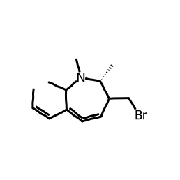 C/C=C\C1=C=CC(CBr)[C@@H](C)N(C)C1C